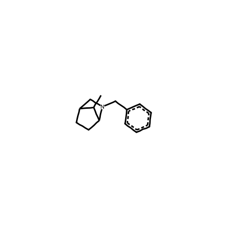 CC1C2CCC1N(Cc1ccccc1)C2